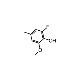 COc1cc(C)cc(F)c1O